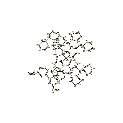 COc1ccc2c(c1)c1cc(OC)ccc1n2-c1ccc2c(c1)-c1c(ccc3c1N(c1ccccc1)c1ccccc1B3c1ccccc1)C21c2ccc(-n3c4ccccc4c4ccccc43)cc2-c2c1ccc1c2N(c2ccccc2)c2ccccc2B1c1ccccc1